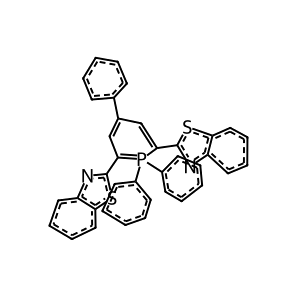 C1=C(c2ccccc2)C=C(c2nc3ccccc3s2)P(c2ccccc2)(c2ccccc2)=C1c1nc2ccccc2s1